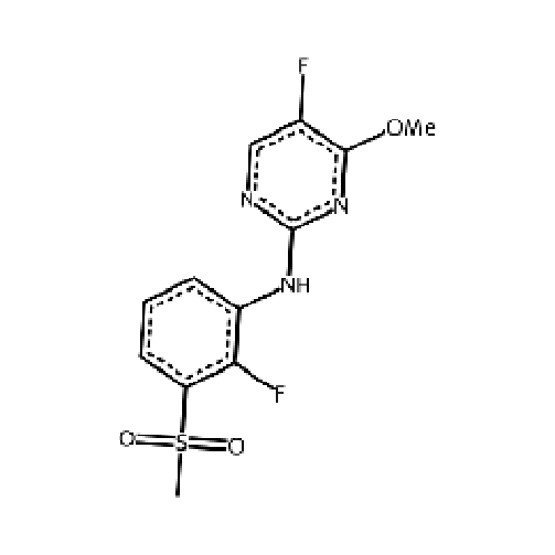 COc1nc(Nc2cccc(S(C)(=O)=O)c2F)ncc1F